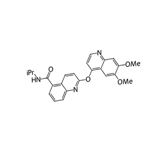 COc1cc2nccc(Oc3ccc4c(C(=O)NC(C)C)cccc4n3)c2cc1OC